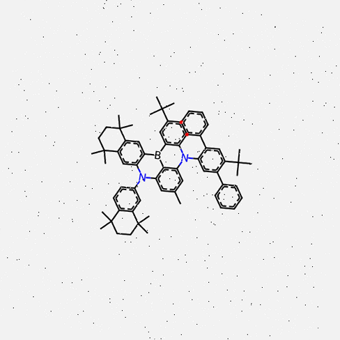 Cc1cc2c3c(c1)N(c1cc(-c4ccccc4)c(C(C)(C)C)cc1-c1ccccc1)c1ccc(C(C)(C)C)cc1B3c1cc3c(cc1N2c1ccc2c(c1)C(C)(C)CCC2(C)C)C(C)(C)CCC3(C)C